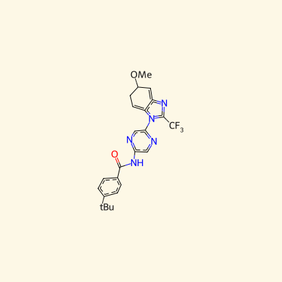 COC1C=c2nc(C(F)(F)F)n(-c3cnc(NC(=O)c4ccc(C(C)(C)C)cc4)cn3)c2=CC1